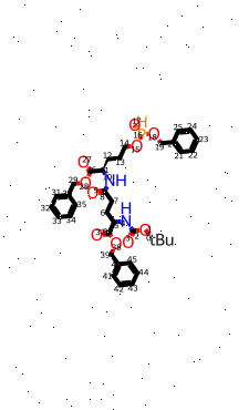 CC(C)(C)OC(=O)NC(CCC(=O)N[C@H](CCCO[PH](=O)OCc1ccccc1)C(=O)OCc1ccccc1)C(=O)OCc1ccccc1